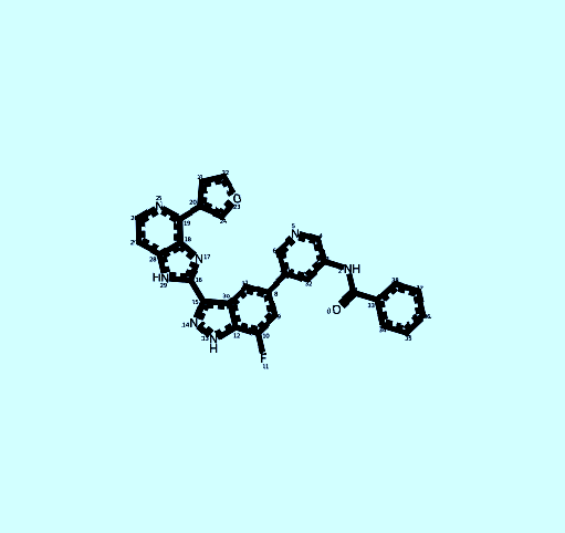 O=C(Nc1cncc(-c2cc(F)c3[nH]nc(-c4nc5c(-c6ccoc6)nccc5[nH]4)c3c2)c1)c1ccccc1